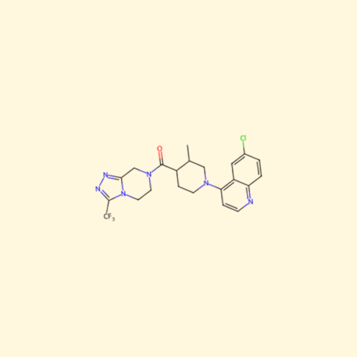 CC1CN(c2ccnc3ccc(Cl)cc23)CCC1C(=O)N1CCn2c(nnc2C(F)(F)F)C1